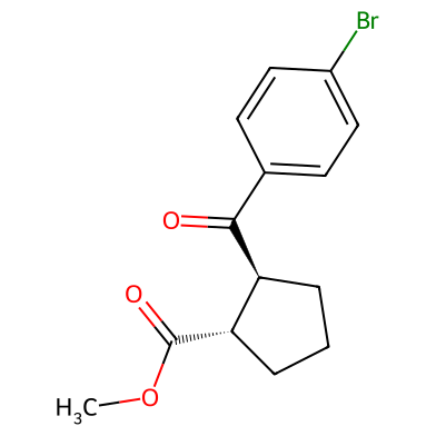 COC(=O)[C@H]1CCC[C@@H]1C(=O)c1ccc(Br)cc1